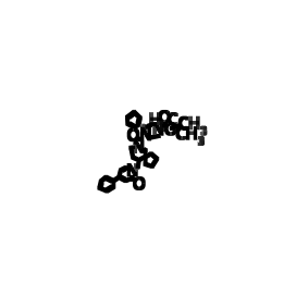 CC(C)(C)OC(=O)N1CCN(C(=O)N2CCC(Cn3ccc(-c4ccccc4)cc3=O)C3(CCCC3)C2)[C@H](c2ccccc2)C1